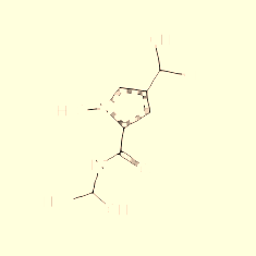 CC(C)NC(=O)c1cc(C(C)C)cn1C